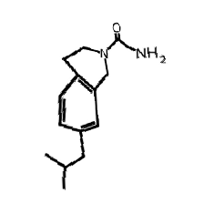 CC(C)Cc1ccc2c(c1)CN(C(N)=O)CC2